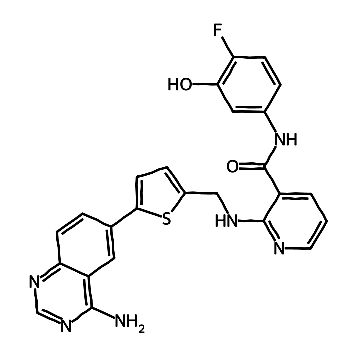 Nc1ncnc2ccc(-c3ccc(CNc4ncccc4C(=O)Nc4ccc(F)c(O)c4)s3)cc12